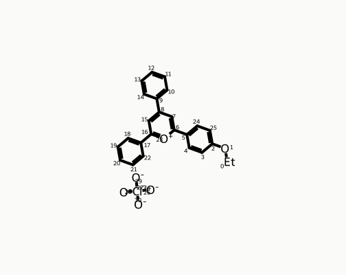 CCOc1ccc(-c2cc(-c3ccccc3)cc(-c3ccccc3)[o+]2)cc1.[O-][Cl+3]([O-])([O-])[O-]